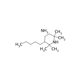 CCCCCC1CCC(C)(C)NC1(C)C.N